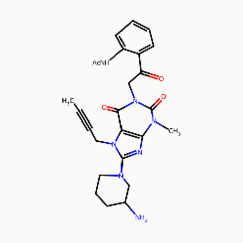 CC#CCn1c(N2CCCC(N)C2)nc2c1c(=O)n(CC(=O)c1ccccc1NC(C)=O)c(=O)n2C